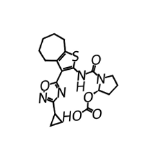 O=C(O)O[C@@H]1CCCN1C(=O)Nc1sc2c(c1-c1nc(C3CC3)no1)CCCCC2